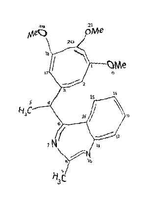 COc1cc(C(C)c2nc(C)nc3ccccc23)cc(OC)c1OC